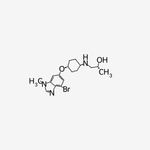 C[C@H](O)CN[C@H]1CC[C@@H](Oc2cc(Br)c3ncn(C)c3c2)CC1